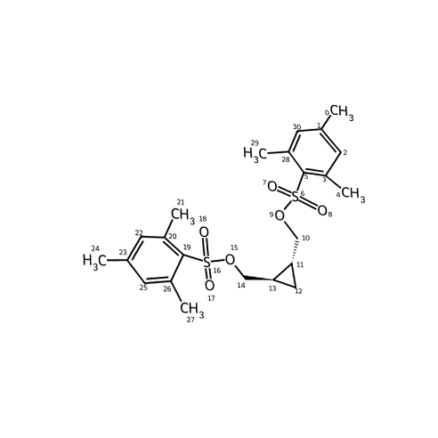 Cc1cc(C)c(S(=O)(=O)OC[C@@H]2C[C@H]2COS(=O)(=O)c2c(C)cc(C)cc2C)c(C)c1